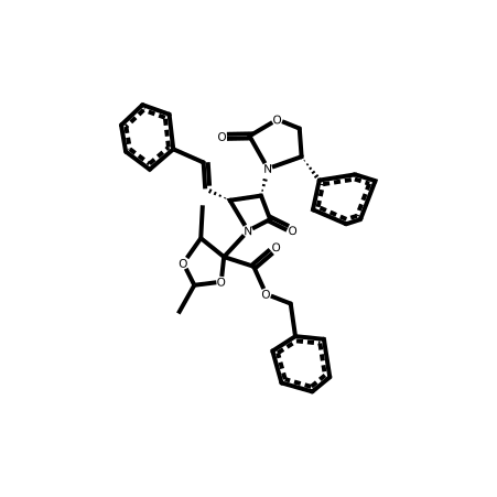 CC1OC(C)C(C(=O)OCc2ccccc2)(N2C(=O)[C@@H](N3C(=O)OC[C@@H]3c3ccccc3)[C@H]2C=Cc2ccccc2)O1